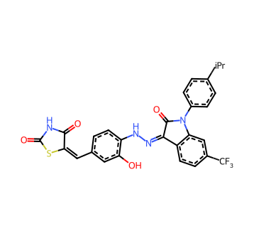 CC(C)c1ccc(N2C(=O)C(=NNc3ccc(C=C4SC(=O)NC4=O)cc3O)c3ccc(C(F)(F)F)cc32)cc1